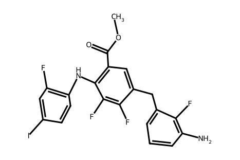 COC(=O)c1cc(Cc2cccc(N)c2F)c(F)c(F)c1Nc1ccc(I)cc1F